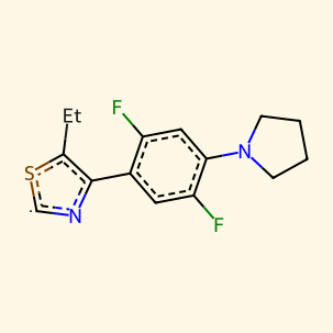 CCc1s[c]nc1-c1cc(F)c(N2CCCC2)cc1F